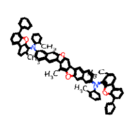 Cc1ccccc1N(c1ccc2cc3c(cc2c1)oc1c(C)c2c(cc13)oc1cc3cc(N(c4ccccc4C)c4c(C)ccc5c4oc4c(-c6ccccc6)cccc45)ccc3cc12)c1c(C)ccc2c1oc1c(-c3ccccc3)cccc12